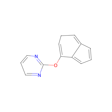 C1=CC2=CCC=C(Oc3ncccn3)C2=C1